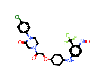 O=Nc1ccc(NC2CCC(OCC(=O)N3CCN(c4ccc(Cl)cc4)C(=O)C3)CC2)cc1C(F)(F)F